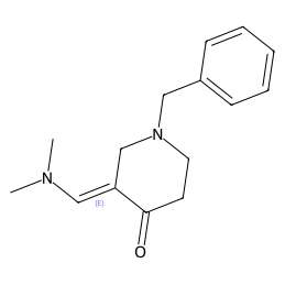 CN(C)/C=C1\CN(Cc2ccccc2)CCC1=O